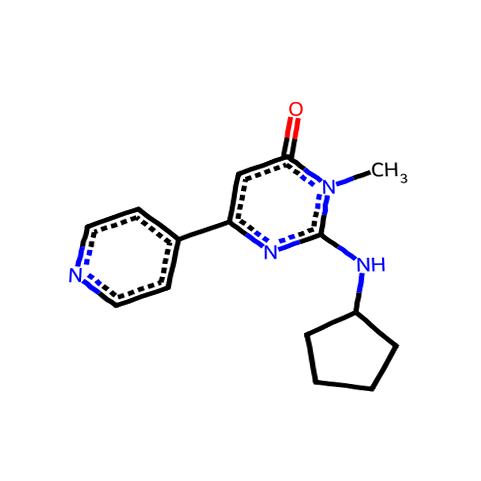 Cn1c(NC2CCCC2)nc(-c2ccncc2)cc1=O